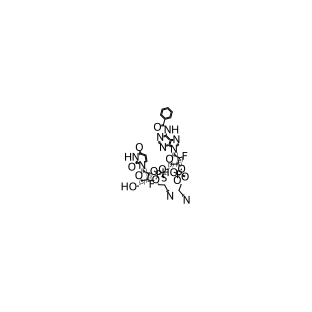 N#CCCOP(=O)(O)O[C@@H]1[C@H](F)[C@@H](n2cnc3c(NC(=O)c4ccccc4)ncnc32)O[C@H]1COP(=S)(OCCC#N)O[C@H]1[C@@H](F)[C@H](CO)O[C@@H]1n1ccc(=O)[nH]c1=O